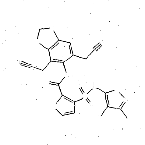 Cc1noc(NS(=O)(=O)c2ccsc2C(=O)Nc2c(CC#N)cc3c(c2CC#N)OCO3)c1Cl